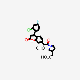 O=C[C@H](C(=O)N1CC[C@@H](CC(=O)O)C1)c1ccc2c(-c3ccc(F)cc3Cl)cc(=O)oc2c1